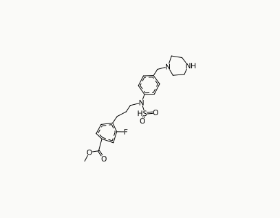 COC(=O)c1ccc(CCCN(c2ccc(CN3CCNCC3)cc2)[SH](=O)=O)c(F)c1